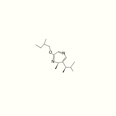 CCC(C)COC1=N[C@H](C)C([C@H](C)C(C)C)=CN=C1